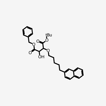 CC(C)(C)OC(=O)C(OCCCCCc1ccc2ccccc2c1)C(O)C(=O)OCc1ccccc1